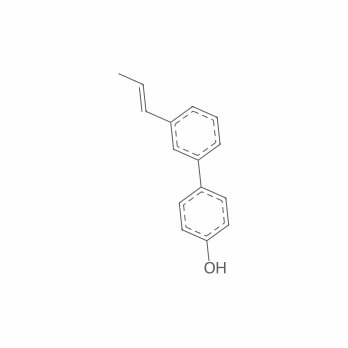 CC=Cc1cccc(-c2ccc(O)cc2)c1